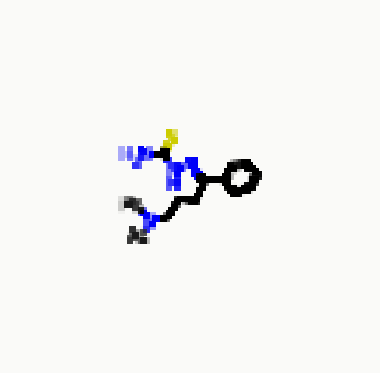 CC(=O)N(CCC/C(=N\NC(N)=S)c1ccccc1)C(C)C